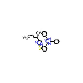 C=C/C(=C\C=C/C)c1cn2c(n1)sc1cccc(-c3nc(-c4ccccc4)nc(-c4ccccc4)n3)c12